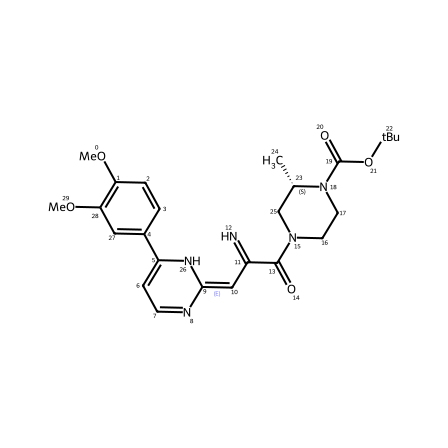 COc1ccc(C2=CC=N/C(=C/C(=N)C(=O)N3CCN(C(=O)OC(C)(C)C)[C@@H](C)C3)N2)cc1OC